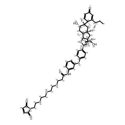 CC[C@H](F)C1=CC(=O)C=C[C@]1(C)[C@]1(F)C[C@@H]2C[C@H]3O[C@@H](c4ccc(Sc5cccc(NC(=O)CCOCCOCCOCCN6C(=O)C=CC6=O)c5)cc4)O[C@@]3(C(=O)CO)[C@@]2(C)C[C@@H]1O